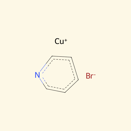 [Br-].[Cu+].c1ccncc1